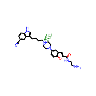 Cl.Cl.Cl.N#Cc1ccc2[nH]cc(CCCCN3CCN(c4ccc5oc(C(=O)NCCN)cc5c4)CC3)c2c1